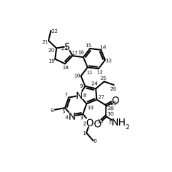 CCOc1nc(C)cn2c(Cc3ccccc3C3=CCC(CC)S3)c(CC)c(C(=O)C(N)=O)c12